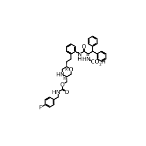 O=C(O)N[C@H](C(=O)Nc1ccccc1CC[C@@H]1CN[C@H](COC(=O)NCc2ccc(F)cc2)CO1)C(c1ccccc1)c1ccccc1